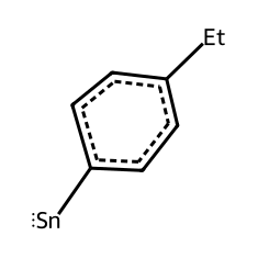 CCc1cc[c]([Sn])cc1